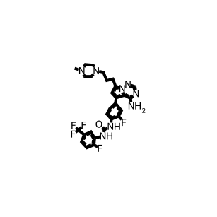 CN1CCN(CCCc2cc(-c3ccc(NC(=O)Nc4cc(C(F)(F)F)ccc4F)c(F)c3)c3c(N)ncnn23)CC1